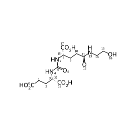 O=C(O)CC[C@H](NC(=O)N[C@@H](CCC(=O)NCCO)C(=O)O)C(=O)O